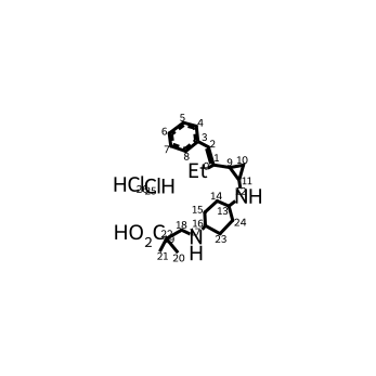 CC/C(=C\c1ccccc1)C1CC1NC1CCC(NCC(C)(C)C(=O)O)CC1.Cl.Cl